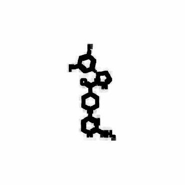 Nc1nccc(N2CCC(C(=O)N3N=CC[C@H]3c3cc(F)cc(F)c3)CC2)n1